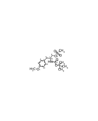 COc1ccc(C[C@@H](COS(C)(=O)=O)NC(=O)OC(C)(C)C)cc1